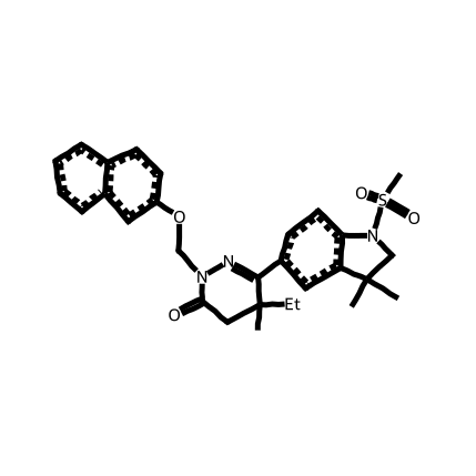 CCC1(C)CC(=O)N(COc2ccc3ccccc3c2)N=C1c1ccc2c(c1)C(C)(C)CN2S(C)(=O)=O